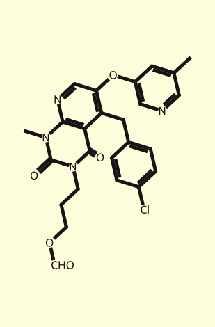 Cc1cncc(Oc2cnc3c(c2Cc2ccc(Cl)cc2)c(=O)n(CCCOC=O)c(=O)n3C)c1